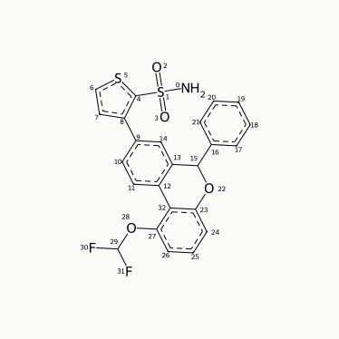 NS(=O)(=O)c1sccc1-c1ccc2c(c1)C(c1ccccc1)Oc1cccc(OC(F)F)c1-2